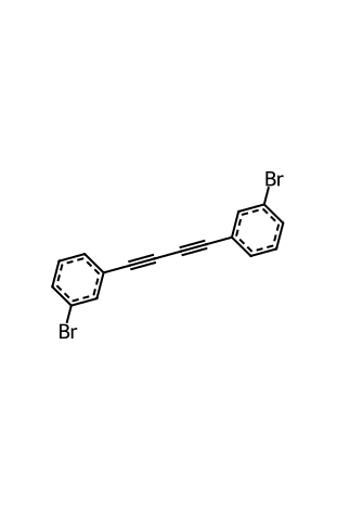 Brc1cccc(C#CC#Cc2cccc(Br)c2)c1